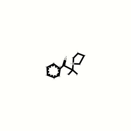 CC(C)(B1CCCC1)C(=O)c1ccccc1